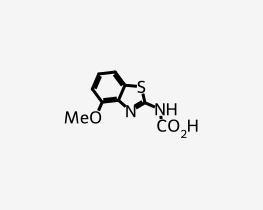 COc1cccc2sc(NC(=O)O)nc12